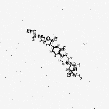 CCOC(=S)NCC1CN(c2ccc(N3CCN(C(O)CS(N)(=O)=O)CC3)c(F)c2)C(=O)O1